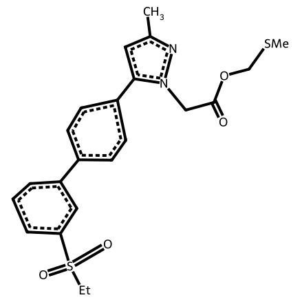 CCS(=O)(=O)c1cccc(-c2ccc(-c3cc(C)nn3CC(=O)OCSC)cc2)c1